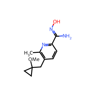 COC1(Cc2ccc(C(N)=NO)nc2C)CC1